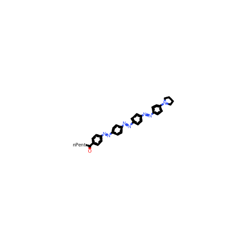 CCCCCC(=O)c1ccc(N=Nc2ccc(N=Nc3ccc(N=Nc4ccc(N5CCCC5)cc4)cc3)cc2)cc1